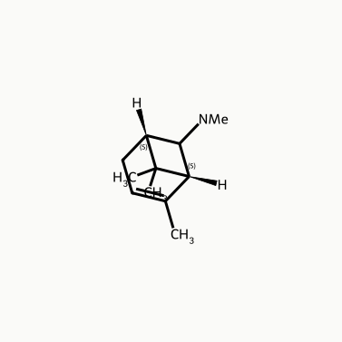 CNC1[C@H]2CC=C(C)[C@@H]1C2(C)C